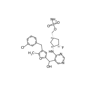 Cc1oc(C(O)c2cncnc2N[C@@H]2C[C@H](COS(N)(=O)=O)C[C@@H]2F)cc1Cc1cccc(Cl)c1